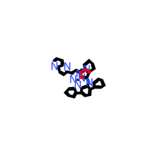 c1ccc(-c2cc(-c3ccc4ncccc4n3)nc(-n3c4ccccc4c4ccc5c6ccccc6n(-c6cncnc6)c5c43)n2)cc1